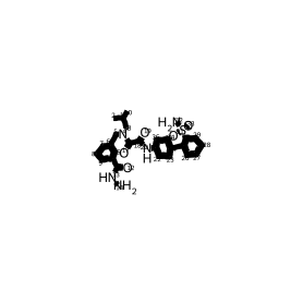 CC(C)CN(Cc1cccc(C(=O)NN)c1)C(=O)C(=O)Nc1ccc(-c2ccccc2S(N)(=O)=O)cc1